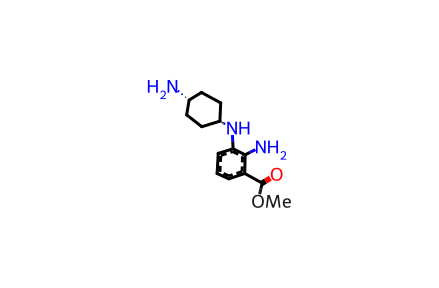 COC(=O)c1cccc(N[C@H]2CC[C@@H](N)CC2)c1N